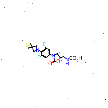 O=C(O)NCC1CN(c2cc(F)c(N3CC4(CSC4)C3)c(F)c2)C(=O)O1